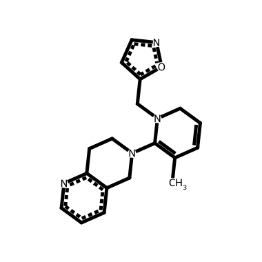 CC1=C(N2CCc3ncccc3C2)N(Cc2ccno2)CC=C1